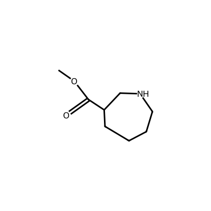 COC(=O)C1CCCCNC1